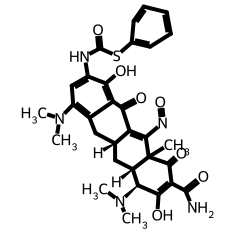 CN(C)c1cc(NC(=O)Sc2ccccc2)c(O)c2c1C[C@H]1C[C@H]3[C@H](N(C)C)C(O)=C(C(N)=O)C(=O)C3(C)C(N=O)=C1C2=O